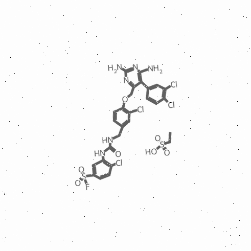 CCS(=O)(=O)O.Nc1nc(N)c(-c2ccc(Cl)c(Cl)c2)c(COc2ccc(CNC(=O)Nc3cc(S(=O)(=O)F)ccc3Cl)cc2Cl)n1